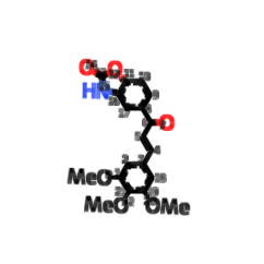 COc1cc(C=CC(=O)c2ccc3oc(=O)[nH]c3c2)cc(OC)c1OC